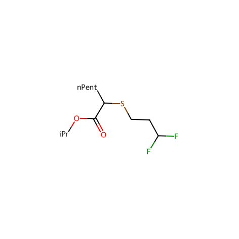 CCCCCC(SCCC(F)F)C(=O)OC(C)C